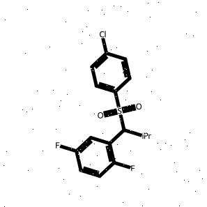 CC(C)C(c1cc(F)ccc1F)S(=O)(=O)c1ccc(Cl)cc1